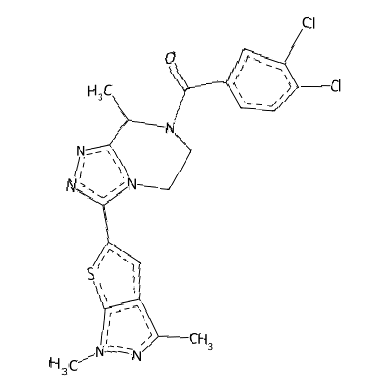 Cc1nn(C)c2sc(-c3nnc4n3CCN(C(=O)c3ccc(Cl)c(Cl)c3)C4C)cc12